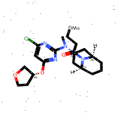 COCCC(=O)N1[C@@H]2CCC[C@H]1C[C@H](N(C)c1nc(Cl)cc(O[C@@H]3CCOC3)n1)C2